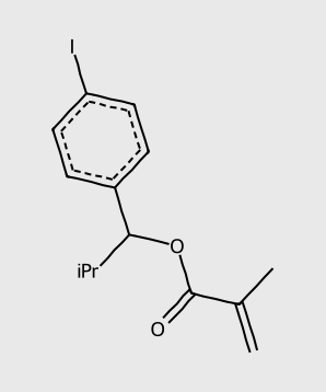 C=C(C)C(=O)OC(c1ccc(I)cc1)C(C)C